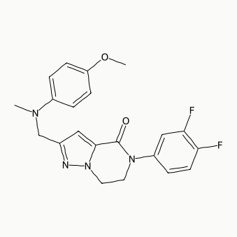 COc1ccc(N(C)Cc2cc3n(n2)CCN(c2ccc(F)c(F)c2)C3=O)cc1